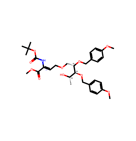 COC(=O)/C(=C/COC[C@H](OCc1ccc(OC)cc1)[C@@H](OCc1ccc(OC)cc1)[C@H](C)O)NC(=O)OC(C)(C)C